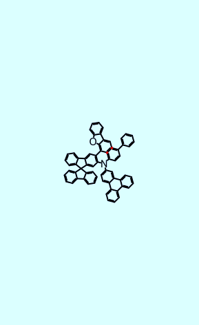 c1ccc(-c2ccc(N(c3ccc4c5ccccc5c5ccccc5c4c3)c3cc4c(cc3-c3cccc5c3oc3ccccc35)-c3ccccc3C43c4ccccc4-c4ccccc43)cc2)cc1